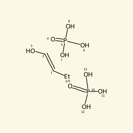 CCC=CO.O=P(O)(O)O.O=P(O)(O)O